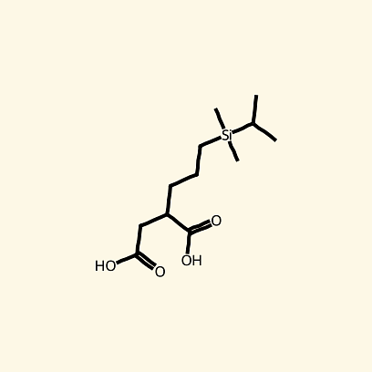 CC(C)[Si](C)(C)CCCC(CC(=O)O)C(=O)O